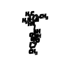 Cc1ccc(S(=O)(=O)NC(=O)NCCNc2nc(C)cc(C)c2N)cc1